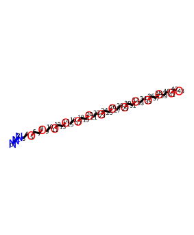 [N-]=[N+]=NCCOCCOCCOCCOCCOCCOCCOCCOCCOCCOCCOCCOCCOC=O